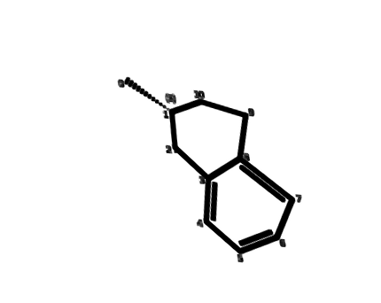 C[C@H]1[CH]c2ccccc2CC1